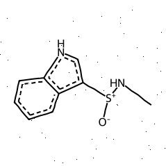 CN[S+]([O-])c1c[nH]c2ccccc12